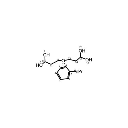 CCCc1ccccc1.OC(O)CCOCCC(O)O